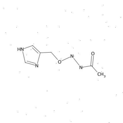 CC(=O)[N][N]OCc1c[nH]cn1